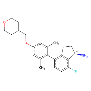 Cc1cc(OCC2CCOCC2)cc(C)c1-c1ccc(F)c2c1CC[C@H]2N